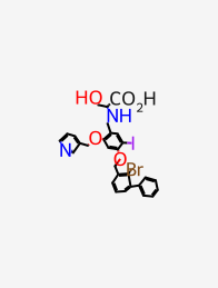 O=C(O)C(CO)NCc1cc(I)c(OCc2cccc(-c3ccccc3)c2Br)cc1OCc1cccnc1